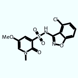 COc1cc(S(=O)(=O)Nc2noc3cccc(Cl)c23)c(=O)n(C)c1